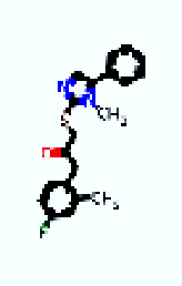 Cc1cc(F)ccc1CC(=O)CSc1ncc(-c2ccccc2)n1C